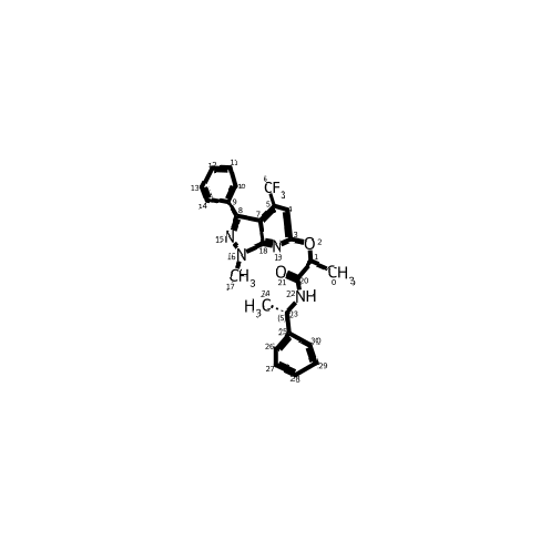 CC(Oc1cc(C(F)(F)F)c2c(-c3ccccc3)nn(C)c2n1)C(=O)N[C@@H](C)c1ccccc1